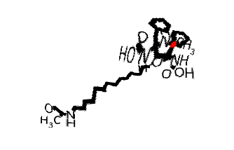 CC(C=O)NCCCCCCCCCCCCCC[C@@H](Cc1ccccc1)C(Cc1ccccc1)(NC(=O)O)N[C@@H](C)C(=O)NC(=O)O